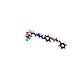 O=C(CCNCCCc1ccc(OCCSCc2ccccc2)cc1)OC(=O)C(F)(F)F